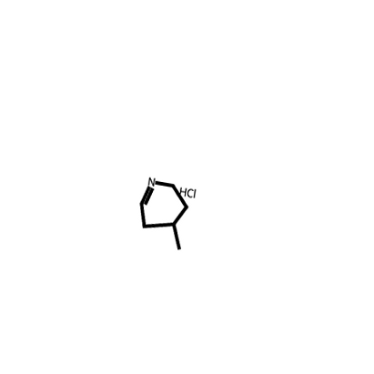 CC1CC=NCC1.Cl